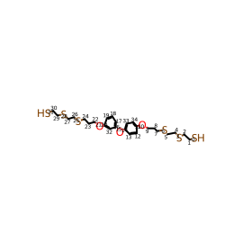 SCCSCCSCCCOc1ccc(Oc2cccc(OCCCSCCSCCS)c2)cc1